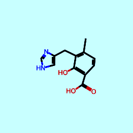 Cc1ccc(C(=O)O)c(O)c1Cc1c[nH]cn1